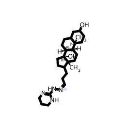 C[C@]12CCC(O)CC1CC[C@@H]1[C@H]2CC[C@]2(C)C(CC/C=N\NC3=NCCCN3)CC[C@@]12O